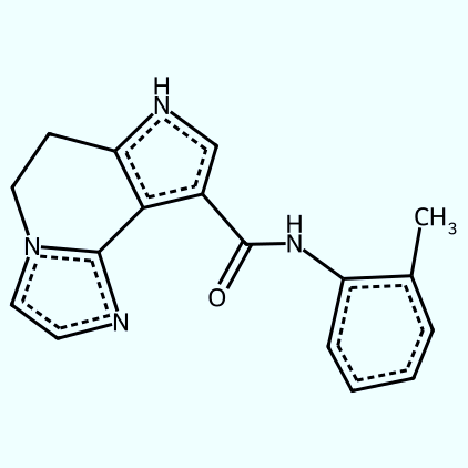 Cc1ccccc1NC(=O)c1c[nH]c2c1-c1nccn1CC2